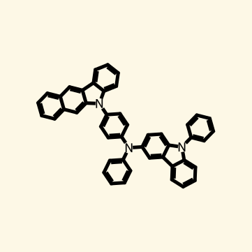 c1ccc(N(c2ccc(-n3c4ccccc4c4cc5ccccc5cc43)cc2)c2ccc3c(c2)c2ccccc2n3-c2ccccc2)cc1